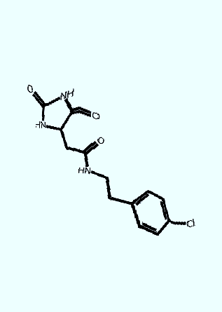 O=C(CC1NC(=O)NC1=O)NCCc1ccc(Cl)cc1